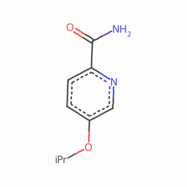 CC(C)Oc1ccc(C(N)=O)nc1